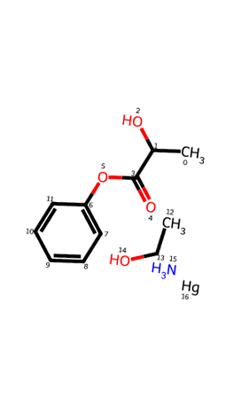 CC(O)C(=O)Oc1ccccc1.CCO.N.[Hg]